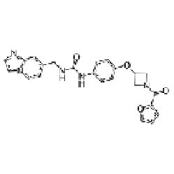 O=C(NCc1ccn2ccnc2c1)Nc1ccc(OC2CN(C(=O)c3ccco3)C2)cc1